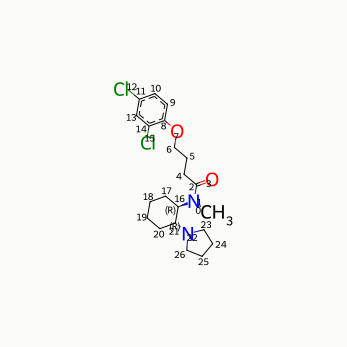 CN(C(=O)CCCOc1ccc(Cl)cc1Cl)[C@@H]1CCCC[C@H]1N1CCCC1